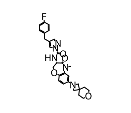 CN1C(=O)[C@@H](NC(=O)n2cc(Cc3ccc(F)cc3)cn2)COc2ccc(N3CC4(CCOCC4)C3)cc21